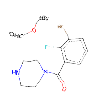 CC(C)(C)OC=O.O=C(c1cccc(Br)c1F)N1CCNCC1